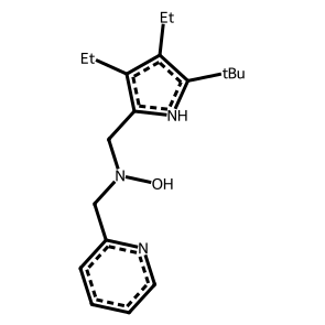 CCc1c(CN(O)Cc2ccccn2)[nH]c(C(C)(C)C)c1CC